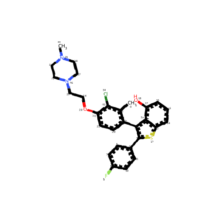 Cc1c(-c2c(-c3ccc(F)cc3)sc3cccc(O)c23)ccc(OCCN2CCN(C)CC2)c1Cl